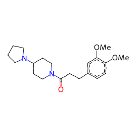 COc1ccc(CCC(=O)N2CCC(N3CCCC3)CC2)cc1OC